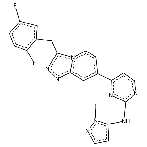 Cn1nccc1Nc1nccc(-c2ccn3c(Cc4cc(F)ccc4F)nnc3c2)n1